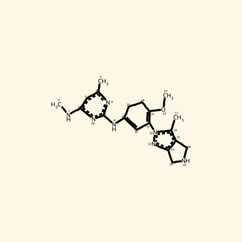 CNc1cc(C)nc(NC2=CC(n3nc4c(c3C)CNC4)=C(OC)CC2)n1